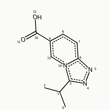 CC(C)c1nnc2ccc(C(=O)O)cn12